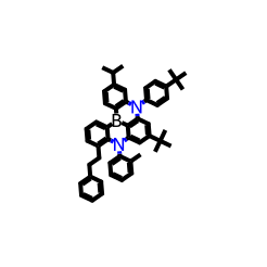 Cc1ccccc1N1c2cc(C(C)(C)C)cc3c2B(c2ccc(C(C)C)cc2N3c2ccc(C(C)(C)C)cc2)c2cccc(CCc3ccccc3)c21